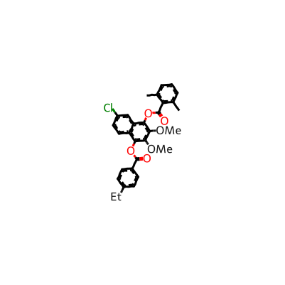 CCc1ccc(C(=O)Oc2c(OC)c(OC)c(OC(=O)c3c(C)cccc3C)c3cc(Cl)ccc23)cc1